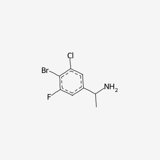 CC(N)c1cc(F)c(Br)c(Cl)c1